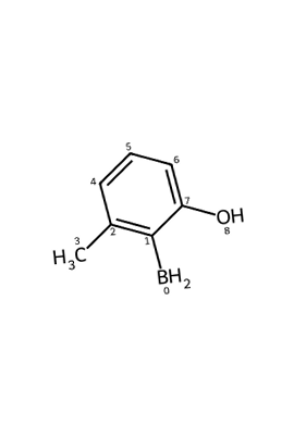 Bc1c(C)cccc1O